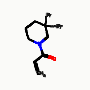 C=CC(=O)N1CCCC(C(C)C)(C(C)C)C1